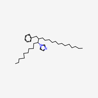 CCCCCCCCCCCCCC(Cc1ccccc1)C(CCCCCCCCC)n1ccnc1